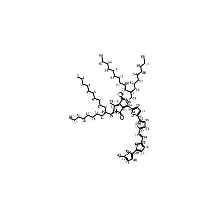 CCCCCCCCCCC(CCCCCCCC)CN1C(=O)C2=C(c3ccc(-c4ccc(/C=C/c5ccc(-c6ccc(C)s6)s5)s4)s3)N(CC(CCCCCCCC)CCCCCCCCCC)C(=O)C2=C1C